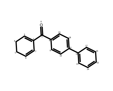 O=C(C1=CCCC=C1)c1ccc(-c2ccccc2)cc1